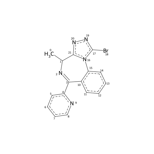 CC1N=C(c2ccccn2)c2ccccc2-n2c(Br)nnc21